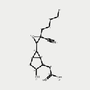 CCCCCC1(C#N)OC1C1C2CC(O)C(CC(=O)O)C21